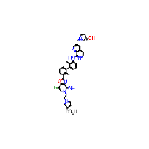 Cc1c(Nc2nccc3cc(CN4CC[C@@H](O)C4)cnc23)cccc1-c1cccc(-c2nc3c(=N)n(CCN4CC[C@@H](C(=O)O)C4)cc(F)c3o2)c1C